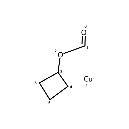 O=COC1CCC1.[Cu]